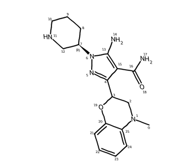 CN1CC(c2nn([C@@H]3CCCNC3)c(N)c2C(N)=O)Oc2ccccc21